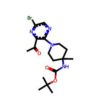 CC(=O)c1nc(Br)cnc1N1CCC(C)(NC(=O)OC(C)(C)C)CC1